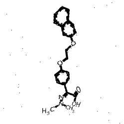 CN(C)/N=C(\C(=O)O)c1ccc(OCCOc2ccc3ccccc3c2)cc1